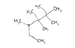 CCP(C)C(C)(C)C(C)(C)C